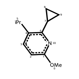 COc1ccc(C(C)C)c(C2CC2)n1